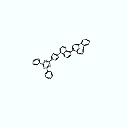 c1ccc(-c2nc(-c3ccccc3)nc(-c3ccc(-c4cccc5c(-c6ccc7c8c(cccc68)-c6ccccc6-7)cccc45)cc3)n2)cc1